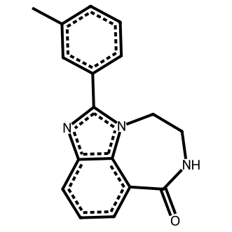 Cc1cccc(-c2nc3cccc4c3n2CCNC4=O)c1